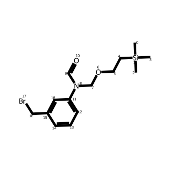 C[Si](C)(C)CCOCN(C=O)c1cccc(CBr)c1